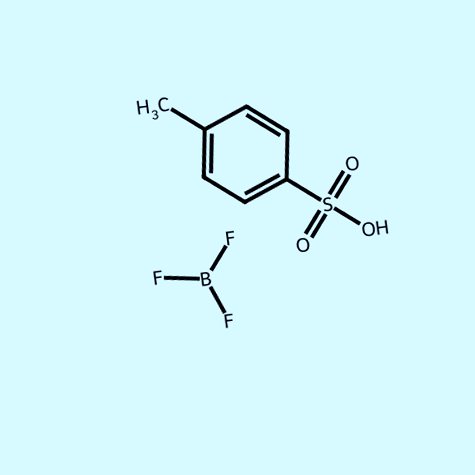 Cc1ccc(S(=O)(=O)O)cc1.FB(F)F